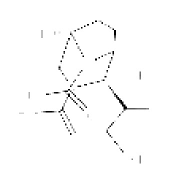 O=C(O)N1C[C@H]2CC[C@@H]([C@H]1C(O)CO)N2C(=O)O